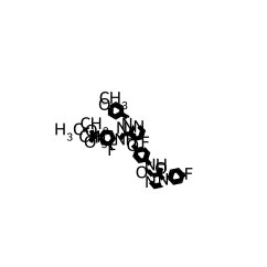 COc1ccc(Cn2nc(N[C@H]3CCN(C(=O)OC(C)(C)C)C[C@@H]3F)c3c(Oc4ccc(NC(=O)c5nccn(-c6ccc(F)cc6)c5=O)cc4F)ccnc32)cc1